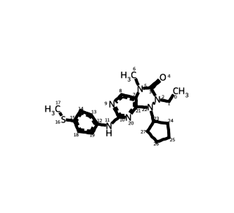 CCN1C(=O)N(C)c2cnc(Nc3ccc(SC)cc3)nc2N1C1CCCC1